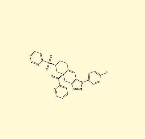 O=C(c1ccccn1)[C@]12Cc3cnn(-c4ccc(F)cc4)c3C=C1CC[C@H](S(=O)(=O)c1ccccn1)C2